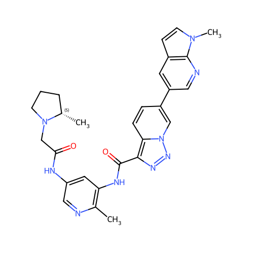 Cc1ncc(NC(=O)CN2CCC[C@@H]2C)cc1NC(=O)c1nnn2cc(-c3cnc4c(ccn4C)c3)ccc12